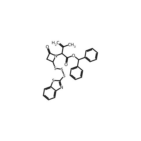 C=C(C)C(C(=O)OC(c1ccccc1)c1ccccc1)N1C(=O)CC1SSSc1nc2ccccc2s1